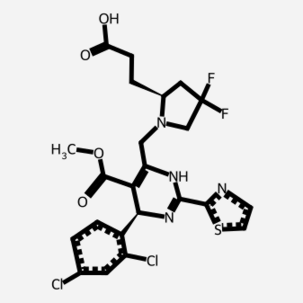 COC(=O)C1=C(CN2CC(F)(F)C[C@@H]2CCC(=O)O)NC(c2nccs2)=N[C@H]1c1ccc(Cl)cc1Cl